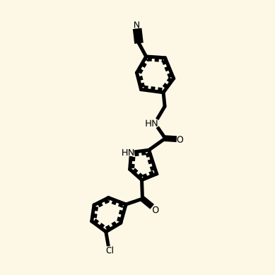 N#Cc1ccc(CNC(=O)c2cc(C(=O)c3cccc(Cl)c3)c[nH]2)cc1